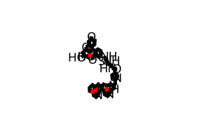 O=C(NCCNC(=S)Nc1ccc(-c2c3ccc(=O)cc-3oc3cc(O)ccc23)c(C(=O)O)c1)c1ccc(CN(Cc2ccccn2)CC(O)CN(Cc2ccccn2)Cc2ccccn2)nc1